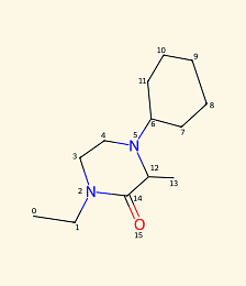 CCN1CCN(C2CCCCC2)C(C)C1=O